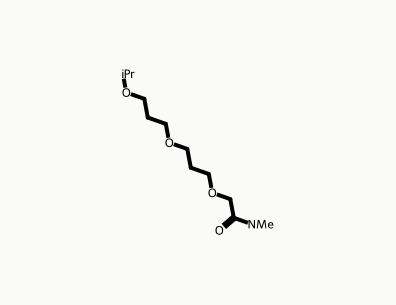 CNC(=O)COCCCOCCCOC(C)C